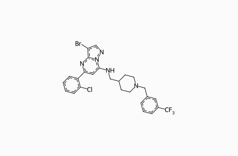 FC(F)(F)c1cccc(CN2CCC(CNc3cc(-c4ccccc4Cl)nc4c(Br)cnn34)CC2)c1